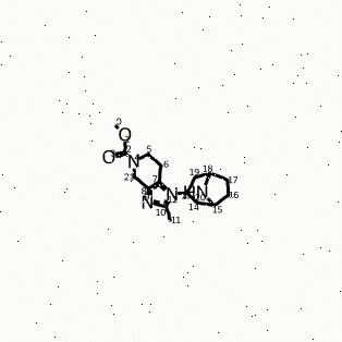 COC(=O)N1CCc2c(nc(C)n2C2CC3CCC(C2)N3)C1